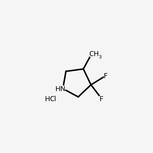 CC1CNCC1(F)F.Cl